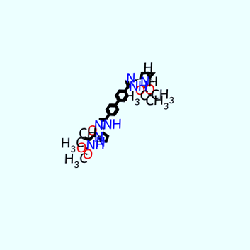 COC(=O)N[C@H](C(=O)N1N=CC[C@H]1c1ncc(-c2ccc(-c3ccc(-c4cnc([C@@H]5C[C@H]6C[C@H]6N5C(=O)OC(C)(C)C)[nH]4)cc3)cc2)[nH]1)C(C)C